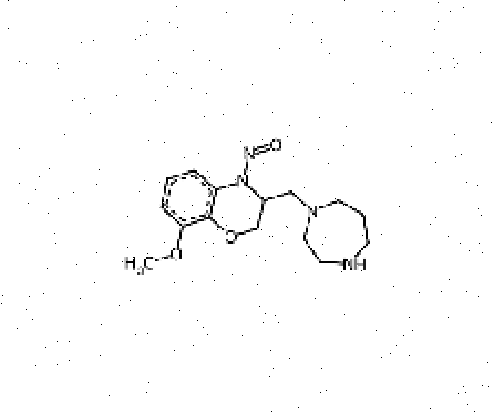 COc1cccc2c1OCC(CN1CCCNCC1)N2N=O